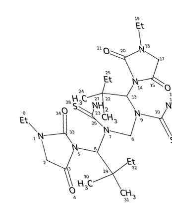 CCN1CC(=O)N(C(N(CN(C(N)=S)C(N2C(=O)CN(CC)C2=O)C(C)(C)CC)C(N)=S)C(C)(C)CC)C1=O